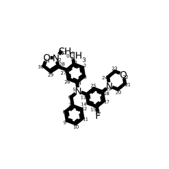 Cc1ccc(N(Cc2ccccc2)c2cc(F)cc(N3CCOCC3)c2)cc1C1=CCON1C